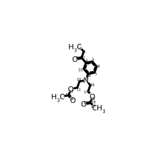 CCC(=O)c1cccc(N(CCOC(C)=O)CCOC(C)=O)c1